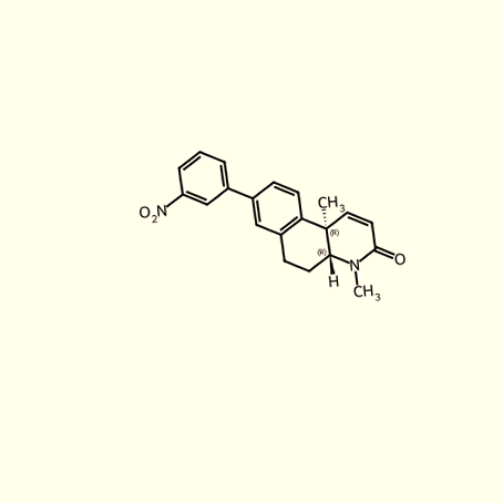 CN1C(=O)C=C[C@]2(C)c3ccc(-c4cccc([N+](=O)[O-])c4)cc3CC[C@@H]12